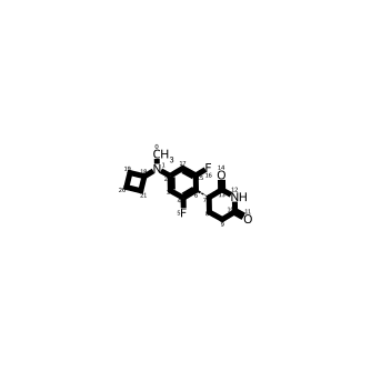 CN(c1cc(F)c([C@H]2CCC(=O)NC2=O)c(F)c1)C1CCC1